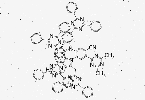 C/C=C\c1c(Cc2nc(-c3ccccc3)nc(-c3ccccc3)n2)n(-c2cc(-c3nc(C)nc(C)n3)c(C#N)cc2-n2c3cc(-c4nc(-c5ccccc5)nc(-c5ccccc5)n4)ccc3c3ccc(-c4nc(-c5ccccc5)nc(-c5ccccc5)n4)cc32)c2cc(-c3nc(-c4ccccc4)nc(-c4ccccc4)n3)ccc12